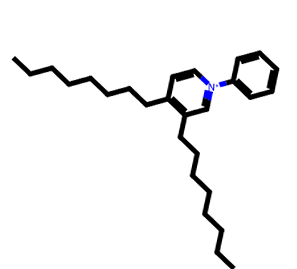 CCCCCCCCc1cc[n+](-c2ccccc2)cc1CCCCCCCC